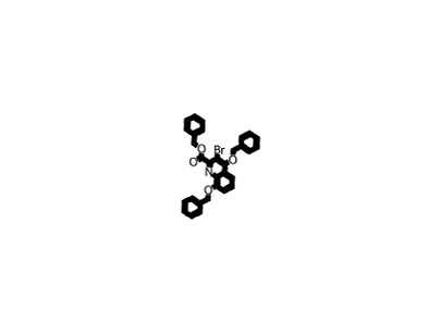 O=C(OCc1ccccc1)c1nc2c(OCc3ccccc3)cccc2c(OCc2ccccc2)c1Br